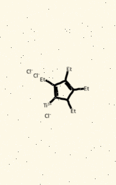 CCC1=[C]([Ti+3])C(CC)C(CC)=C1CC.[Cl-].[Cl-].[Cl-]